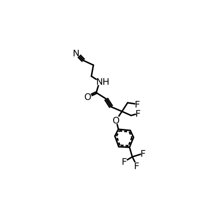 N#CCCNC(=O)C#CC(CF)(CF)Oc1ccc(C(F)(F)F)cc1